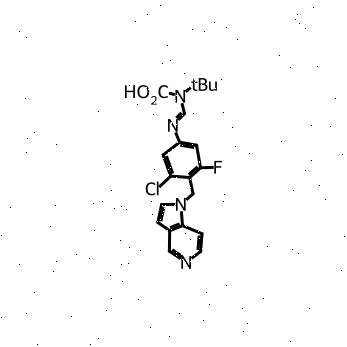 CC(C)(C)N(C=Nc1cc(F)c(Cn2ccc3cnccc32)c(Cl)c1)C(=O)O